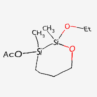 CCO[Si]1(C)OCCC[Si]1(C)OC(C)=O